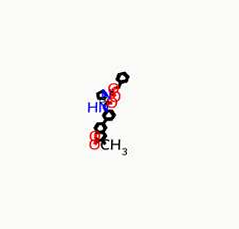 Cc1cc2cc(-c3cccc(NC(=O)[C@@H]4CCCN4C(=O)OCc4ccccc4)c3)ccc2oc1=O